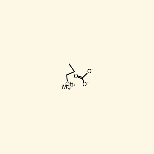 CCCO.O=C([O-])[O-].[Mg+2]